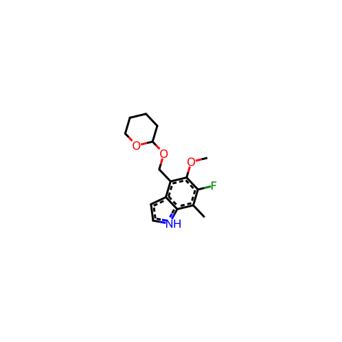 COc1c(F)c(C)c2[nH]ccc2c1COC1CCCCO1